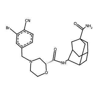 N#Cc1ccc(CN2CCO[C@@H](C(=O)NC3C4CC5CC3CC(C(N)=O)(C5)C4)C2)cc1Br